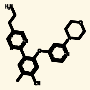 Cc1cc(-c2ncc(CCN)cn2)c(Oc2ccnc(N3CCOCC3)c2)cc1C#N